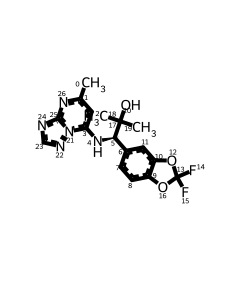 Cc1cc(N[C@H](c2ccc3c(c2)OC(F)(F)O3)C(C)(C)O)n2ncnc2n1